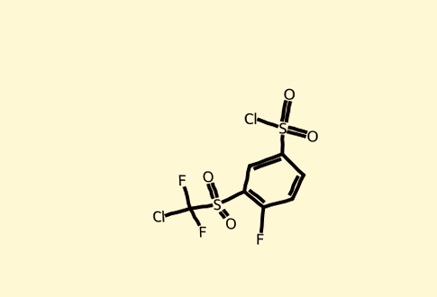 O=S(=O)(Cl)c1ccc(F)c(S(=O)(=O)C(F)(F)Cl)c1